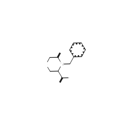 O=C(Cl)C1COCC(=O)N1Cc1ccccc1